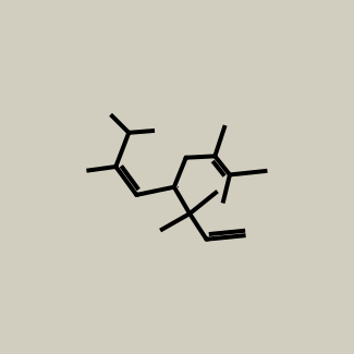 C=CC(C)(C)[C](C=C(C)C(C)C)CC(C)=C(C)C